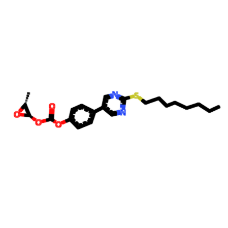 CCCCCCCCSc1ncc(-c2ccc(OC(=O)O[C@H]3O[C@@H]3C)cc2)cn1